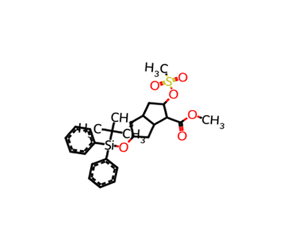 COC(=O)C1C(OS(C)(=O)=O)CC2CC(O[Si](c3ccccc3)(c3ccccc3)C(C)(C)C)CC21